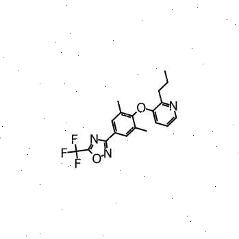 CCCc1ncccc1Oc1c(C)cc(-c2noc(C(F)(F)F)n2)cc1C